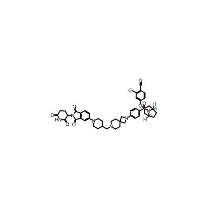 N#Cc1ccc(OC2C[C@H]3CC[C@@H](C2)N3C(=O)c2ccc(N3CC4(CCN(CC5CCN(c6ccc7c(c6)C(=O)N(C6CCC(=O)NC6=O)C7=O)CC5)CC4)C3)cc2)cc1Cl